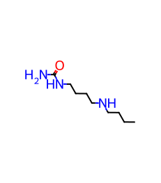 CCCCNCCCCNC(N)=O